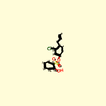 C=CCc1ccc(OS(=O)(=O)c2ccccc2O)cc1Cl